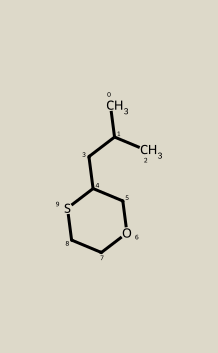 CC(C)CC1COCCS1